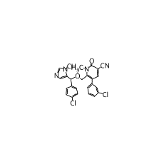 Cn1cncc1C(OCc1c(-c2cccc(Cl)c2)cc(C#N)c(=O)n1C)c1ccc(Cl)cc1